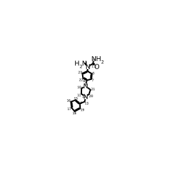 NC(=O)N(N)c1ccc(N2CCN(Cc3ccccc3)CC2)cc1